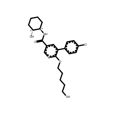 O=C(N[C@@H]1CCCC[C@H]1O)c1cnc(OCCCCCO)c(-c2ccc(Cl)cc2)c1